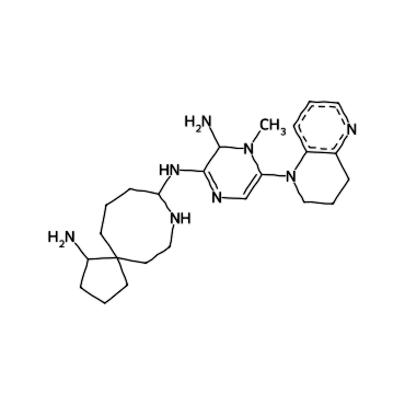 CN1C(N2CCCc3ncccc32)=CN=C(NC2CCCC3(CCCC3N)CCN2)C1N